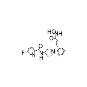 O=C(/C=C/c1ccccc1N1CCC(NC(=O)c2ccc(F)cn2)CC1)NO